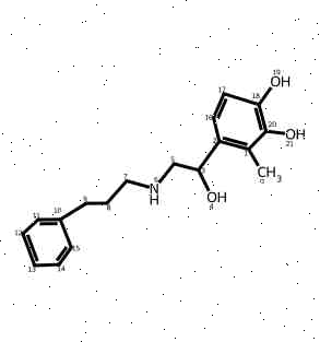 Cc1c(C(O)CNCCCc2ccccc2)ccc(O)c1O